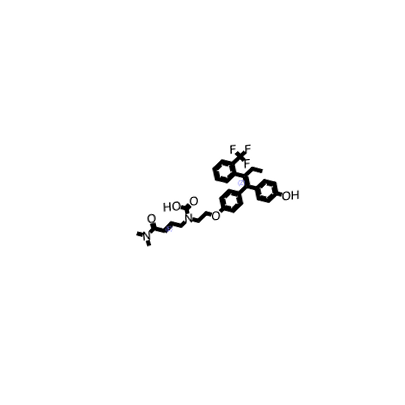 CC/C(=C(\c1ccc(O)cc1)c1ccc(OCCN(C/C=C/C(=O)N(C)C)C(=O)O)cc1)c1ccccc1C(F)(F)F